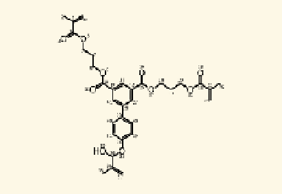 C=C(C)C(=O)OCCCOC(=O)c1cc(C(=O)OCCCOC(=O)C(=C)C)cc(-c2ccc(OC(O)C(=C)C)cc2)c1